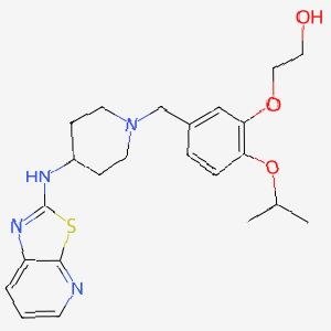 CC(C)Oc1ccc(CN2CCC(Nc3nc4cccnc4s3)CC2)cc1OCCO